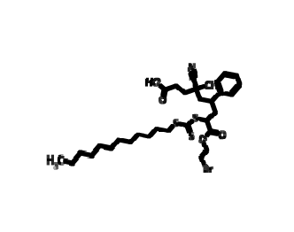 CCCCCCCCCCCCSC(=S)SC(CC(CC(C)(C#N)CCC(=O)O)c1ccccc1)C(=O)OCCBr